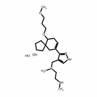 CNCCN(C)Cc1c[nH]nc1C1=CCC(OCCCOC)C2(CCCC2)C1.Cl.Cl